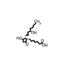 CCCCC[C@@H](O)CC=C[C@H]1[C@H](O)CC(=O)[C@@H]1CCCCCCC(=O)O